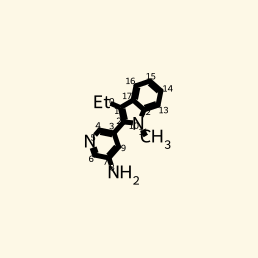 CCc1c(-c2cncc(N)c2)n(C)c2ccccc12